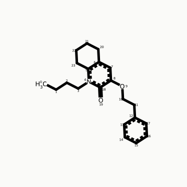 CCCCn1c2c(cc(OCCc3ccccc3)c1=O)CCCC2